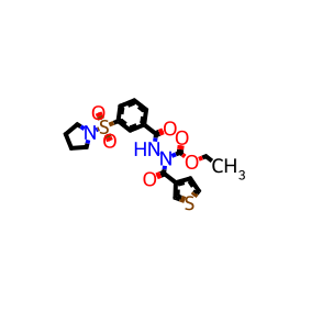 CCOC(=O)N(NC(=O)c1cccc(S(=O)(=O)N2CCCC2)c1)C(=O)c1ccsc1